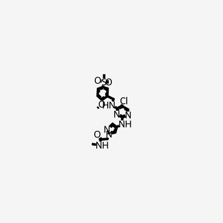 CNC(=O)Cn1cc(Nc2ncc(Cl)c(NCc3cc(S(C)(=O)=O)ccc3OC)n2)cn1